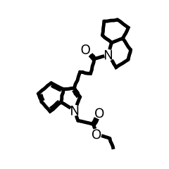 CCOC(=O)Cn1cc(CCC(=O)N2CCCC3CCCCC32)c2ccccc21